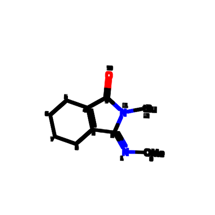 CON=C1C2=C(CCCC2)C(=O)N1C(C)(C)C